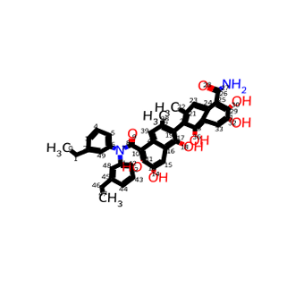 CCc1cccc(N(C(=O)c2c(O)c(O)cc3c(O)c(-c4c(C)cc5c(C(N)=O)c(O)c(O)cc5c4O)c(C)cc23)c2cccc(CC)c2)c1